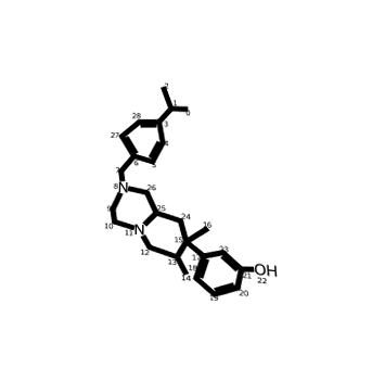 CC(C)c1ccc(CN2CCN3CC(C)C(C)(c4cccc(O)c4)CC3C2)cc1